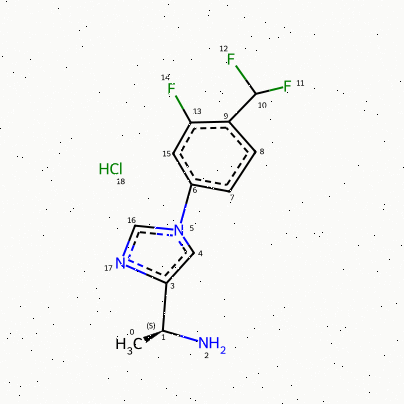 C[C@H](N)c1cn(-c2ccc(C(F)F)c(F)c2)cn1.Cl